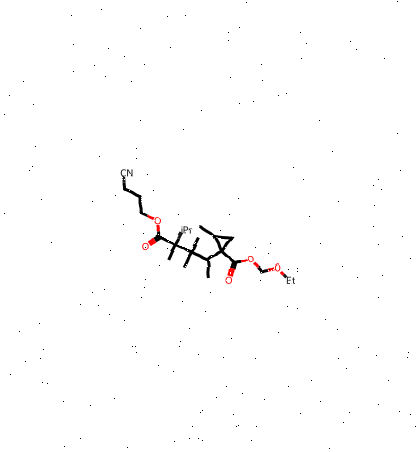 CCOCOC(=O)C1(C(C)C(C)(C)C(C)(C(=O)OCCCC#N)C(C)C)CC1C